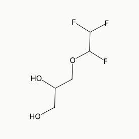 OCC(O)COC(F)C(F)F